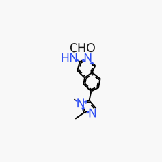 Cc1ncc(-c2ccc3cnc(NC=O)cc3c2)n1C